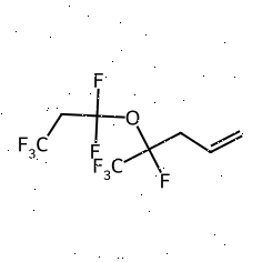 C=CCC(F)(OC(F)(F)CC(F)(F)F)C(F)(F)F